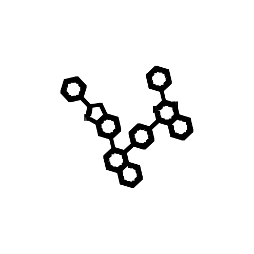 c1ccc(C2=Nc3cc(-c4ccc5ccccc5c4-c4ccc(-c5nc(-c6ccccc6)nc6ccccc56)cc4)ccc3C2)cc1